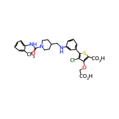 O=C(O)COc1c(C(=O)O)sc(-c2cccc(NCC3CCN(C(=O)Nc4ccccc4C(F)(F)F)CC3)c2)c1Cl